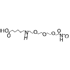 O=CNC(=O)COCCOCCOCCNCCCCCC(=O)O